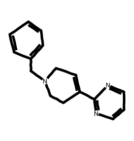 C1=C(c2ncccn2)CCN(Cc2ccccc2)C1